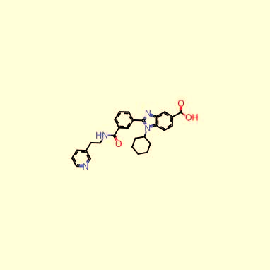 O=C(O)c1ccc2c(c1)nc(-c1cccc(C(=O)NCCc3cccnc3)c1)n2C1CCCCC1